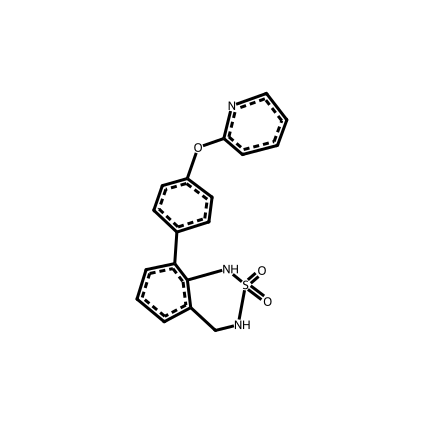 O=S1(=O)NCc2cccc(-c3ccc(Oc4ccccn4)cc3)c2N1